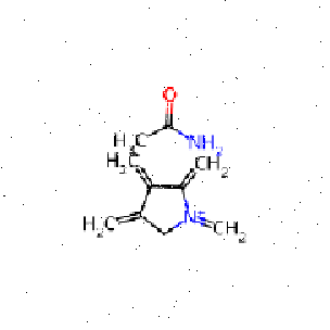 C=C1C[N+](=C)C(=C)C1=C.CC(N)=O